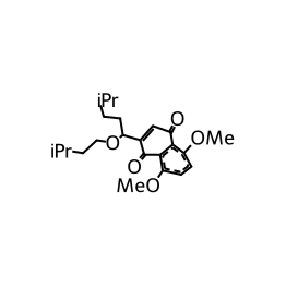 COc1ccc(OC)c2c1C(=O)C=C(C(CCC(C)C)OCCC(C)C)C2=O